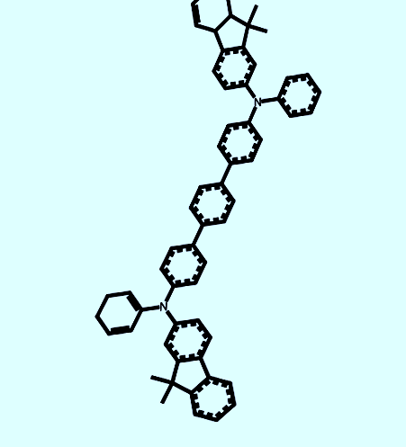 CC1(C)c2ccccc2-c2ccc(N(C3=CCCC=C3)c3ccc(-c4ccc(-c5ccc(N(c6ccccc6)c6ccc7c(c6)C(C)(C)C6C=CC=CC76)cc5)cc4)cc3)cc21